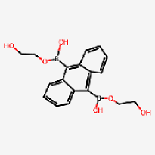 OCCOB(O)c1c2ccccc2c(B(O)OCCO)c2ccccc12